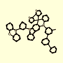 Cc1cc(-c2cccc(-c3ccccc3)c2)cc(N2c3ccccc3C3(c4cc5c(cc42)c2ccccc2n5-c2cccc(N4c5ccccc5Oc5ccccc54)c2)c2ccsc2-c2sccc23)c1